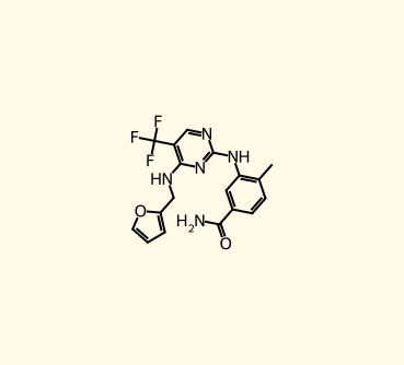 Cc1ccc(C(N)=O)cc1Nc1ncc(C(F)(F)F)c(NCc2ccco2)n1